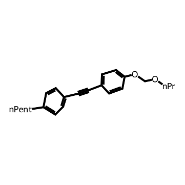 CCCCCc1ccc(C#Cc2ccc(OCOCCC)cc2)cc1